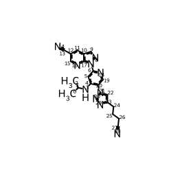 CC(C)Nc1cc(-n2ncc3cc(C#N)cnc32)ncc1-n1cc(CCCC#N)nn1